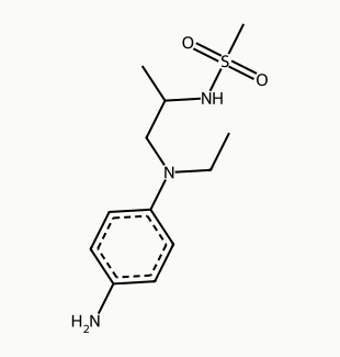 CCN(CC(C)NS(C)(=O)=O)c1ccc(N)cc1